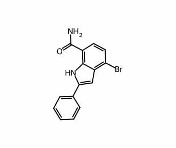 NC(=O)c1ccc(Br)c2cc(-c3ccccc3)[nH]c12